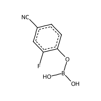 N#Cc1ccc(OB(O)O)c(F)c1